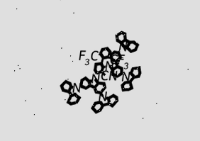 N#Cc1c(-n2c3ccc(-n4c5ccccc5c5ccccc54)cc3c3cc(-n4c5ccccc5c5ccccc54)ccc32)ccc(-c2c(C(F)(F)F)cccc2C(F)(F)F)c1-n1c2ccc(-n3c4ccccc4c4ccccc43)cc2c2cc(-n3c4ccccc4c4ccccc43)ccc21